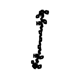 O=C(CCN1C(=O)C=CC1=O)NCCCOCCOCCOCCCNC(=O)CCN1C(=O)C=CC1=O